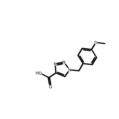 COc1ccc(Cn2cc(C(=O)O)nn2)cc1